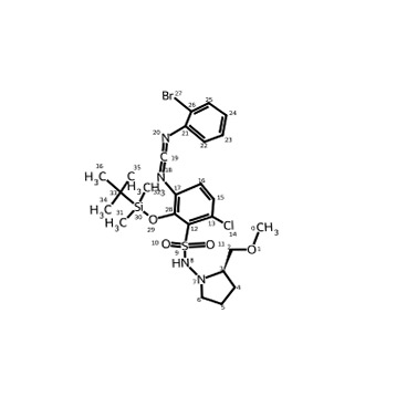 COC[C@H]1CCCN1NS(=O)(=O)c1c(Cl)ccc(N=C=Nc2ccccc2Br)c1O[Si](C)(C)C(C)(C)C